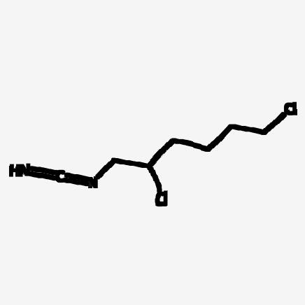 N=C=NCC(Cl)CCCCCl